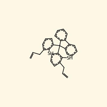 C=CCc1cccc(C2(c3cccc(CC=C)c3S)c3ccccc3-c3ccccc32)c1S